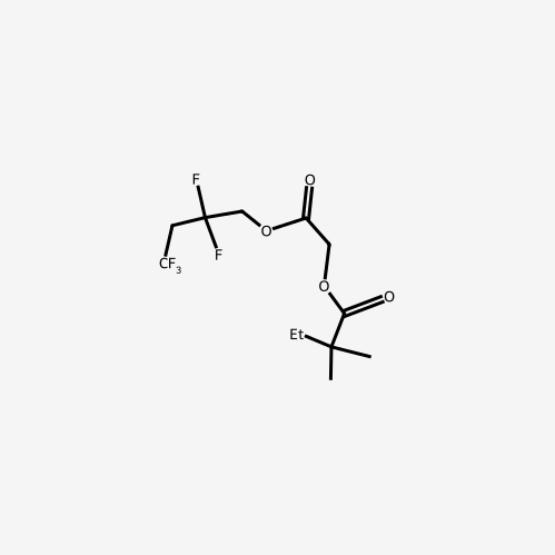 CCC(C)(C)C(=O)OCC(=O)OCC(F)(F)CC(F)(F)F